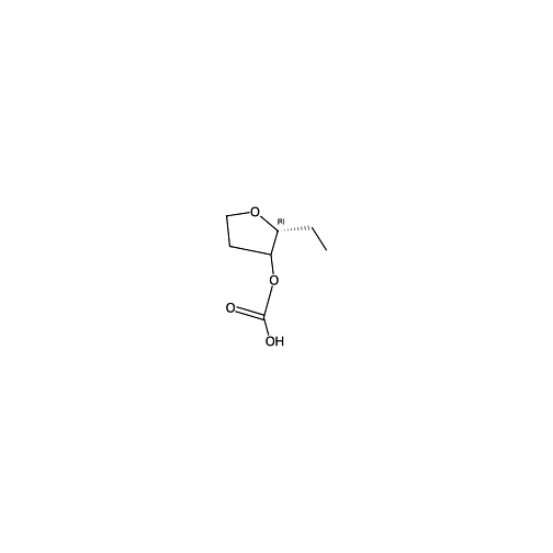 CC[C@H]1OCCC1OC(=O)O